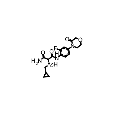 NC(=O)[C@H]([AsH]CC1CC1)C(=O)Nc1ccc(N2CCOCC2=O)cc1F